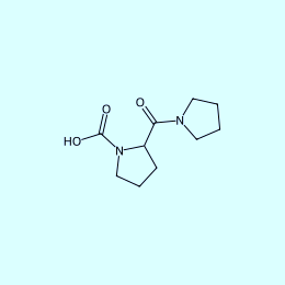 O=C(C1CCCN1C(=O)O)N1CCCC1